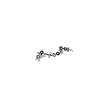 CS(=O)(=O)c1ccc(-c2cccc3nc(Nc4ccc(N5CCN(CC(=O)NCCCNc6cccc7c6C(=O)N(C6CCC(=O)NC6=O)C7=O)CC5)cc4)nn23)cc1